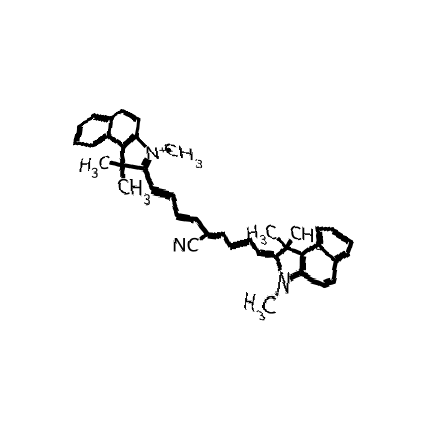 CN1/C(=C/C=C/C=C(C#N)/C=C/C=C/C2=[N+](C)c3ccc4ccccc4c3C2(C)C)C(C)(C)c2c1ccc1ccccc21